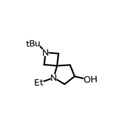 CCN1CC(O)CC12CN(C(C)(C)C)C2